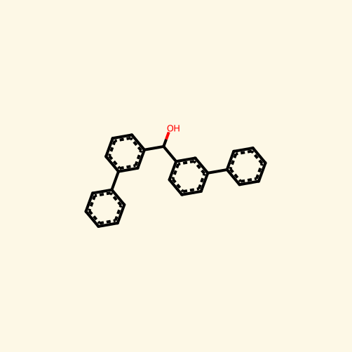 OC(c1cccc(-c2ccccc2)c1)c1cccc(-c2ccccc2)c1